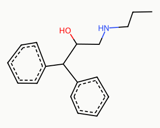 CCCNCC(O)C(c1ccccc1)c1ccccc1